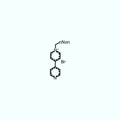 CCCCCCCCCC[n+]1ccc(-c2ccncc2)cc1.[Br-]